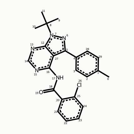 Cc1ccc(-c2nn(C(C)(C)C)c3ncnc(NC(=O)c4ccccc4Cl)c23)cc1